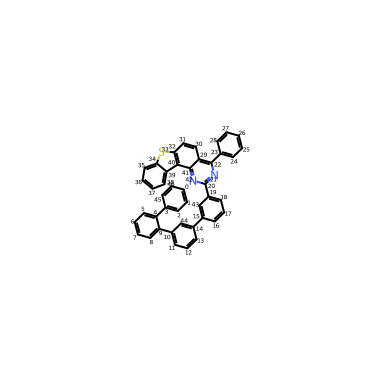 c1ccc(-c2ccccc2-c2cccc(-c3cccc(-c4nc(-c5ccccc5)c5ccc6sc7ccccc7c6c5n4)c3)c2)cc1